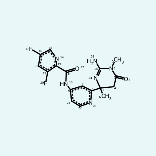 CN1C(=O)CC(C)(c2cc(NC(=O)c3ncc(F)cc3F)ccn2)N=C1N